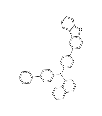 c1ccc(-c2ccc(N(c3ccc(-c4ccc5oc6ccccc6c5c4)cc3)c3cccc4ccccc34)cc2)cc1